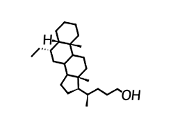 CC[C@H]1CC2C3CC[C@H]([C@H](C)CCCO)[C@@]3(C)CCC2[C@@]2(C)CCCC[C@@H]12